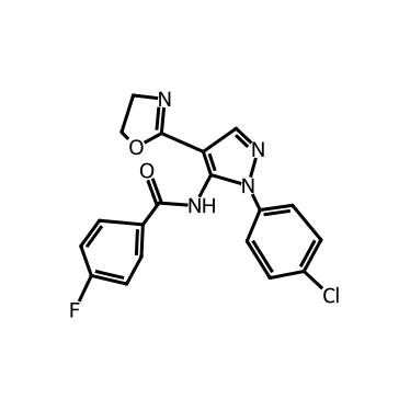 O=C(Nc1c(C2=NCCO2)cnn1-c1ccc(Cl)cc1)c1ccc(F)cc1